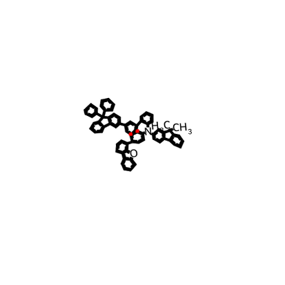 CC1(C)c2ccccc2-c2ccc(N(c3ccc(-c4cccc5c4oc4ccccc45)cc3)c3ccccc3-c3cccc(-c4ccc5c(c4)-c4ccccc4C5(c4ccccc4)c4ccccc4)c3)cc21